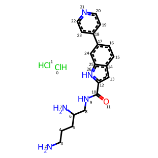 Cl.Cl.NCCCC(N)CNC(=O)c1cc2ccc(-c3ccncc3)cc2[nH]1